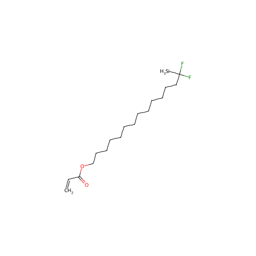 C=CC(=O)OCCCCCCCCCCCCCC(F)(F)[SiH3]